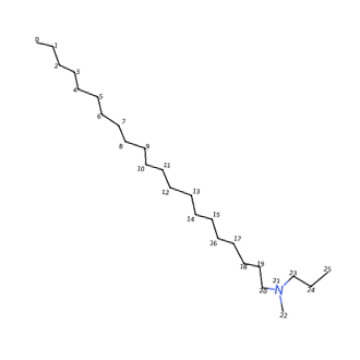 CCCCCCCCCCCCCCCCCCCCCN(C)CCC